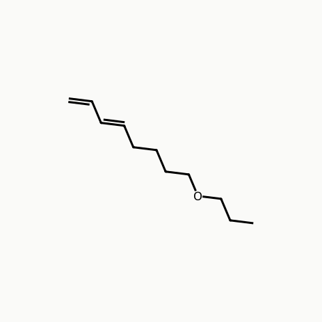 C=CC=CCCCCOCCC